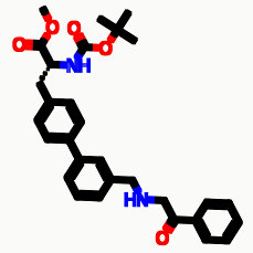 COC(=O)[C@@H](Cc1ccc(-c2cccc(CNCC(=O)c3ccccc3)c2)cc1)NC(=O)OC(C)(C)C